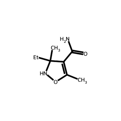 CCC1(C)NOC(C)=C1C(N)=O